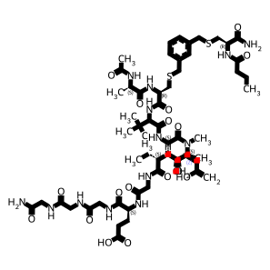 C=C(O)/C=C\C(=C)C[C@H](NC(=O)C(NC(=O)[C@H](CSCc1cccc(CSC[C@H](NC(=O)CCC)C(N)=O)c1)NC(=O)[C@H](C)NC(C)=O)C(C)(C)C)C(=O)N(C)[C@@H](C)C(=O)N[C@@H](CC)C(=O)NCC(=O)N[C@@H](CCC(=O)O)C(=O)NCC(=O)NCC(=O)NCC(N)=O